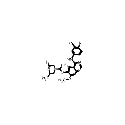 COc1cc2ncnc(Nc3ccc(F)c(Cl)c3)c2cc1OC(C)N1CC(=O)OC(C)C1